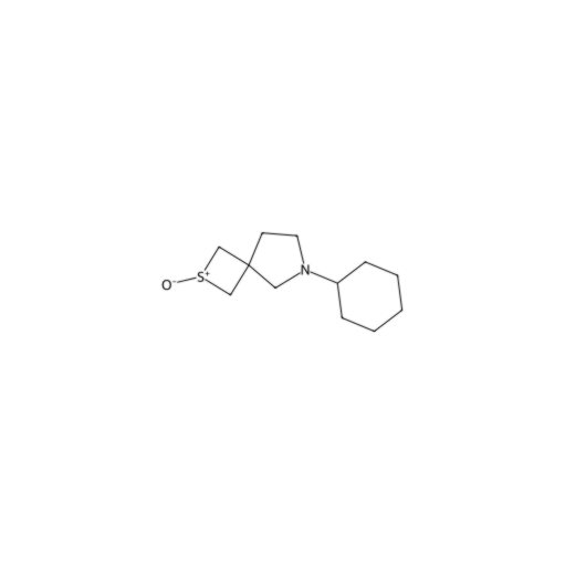 [O-][S+]1CC2(CCN(C3CCCCC3)C2)C1